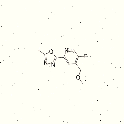 COCc1cc(-c2nnc(C)o2)ncc1F